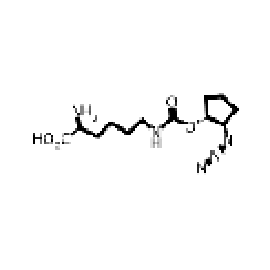 [N-]=[N+]=N[C@@H]1CCC[C@H]1OC(=O)NCCCC[C@H](N)C(=O)O